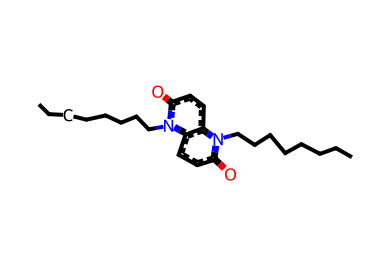 CCCCCCCCn1c(=O)ccc2c1ccc(=O)n2CCCCCCCC